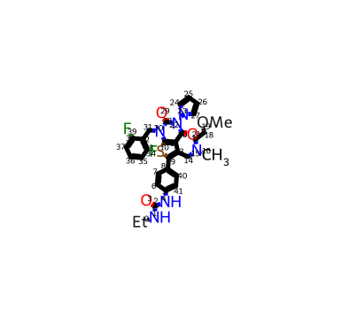 CCNC(=O)Nc1ccc(-c2sc3c(c2CN(C)CCOC)c(=O)n(-n2cccc2)c(=O)n3Cc2c(F)cccc2F)cc1